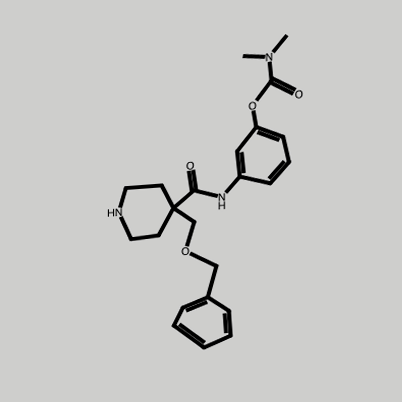 CN(C)C(=O)Oc1cccc(NC(=O)C2(COCc3ccccc3)CCNCC2)c1